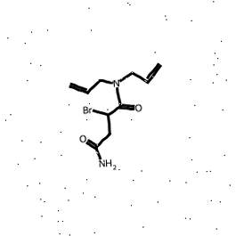 C=CCN(CC=C)C(=O)C(Br)CC(N)=O